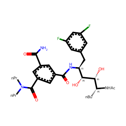 CCCC[C@@H](NC(C)=O)[C@@H](O)[C@H](O)[C@H](Cc1cc(F)cc(F)c1)NC(=O)c1cc(C(N)=O)cc(C(=O)N(CCC)CCC)c1